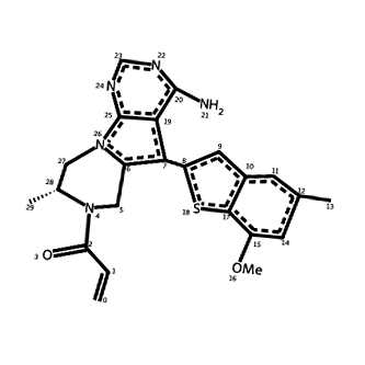 C=CC(=O)N1Cc2c(-c3cc4cc(C)cc(OC)c4s3)c3c(N)ncnc3n2C[C@H]1C